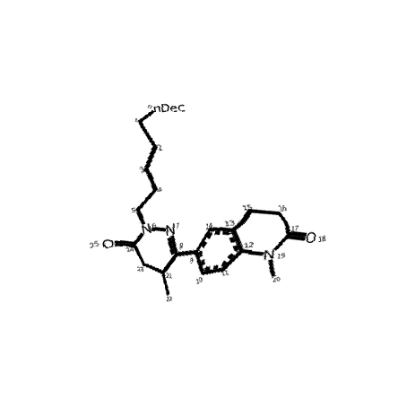 CCCCCCCCCCCCCCCN1N=C(c2ccc3c(c2)CCC(=O)N3C)C(C)CC1=O